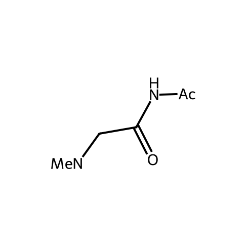 CNCC(=O)NC(C)=O